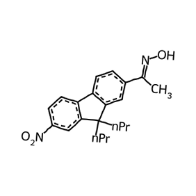 CCCC1(CCC)c2cc(/C(C)=N/O)ccc2-c2ccc([N+](=O)[O-])cc21